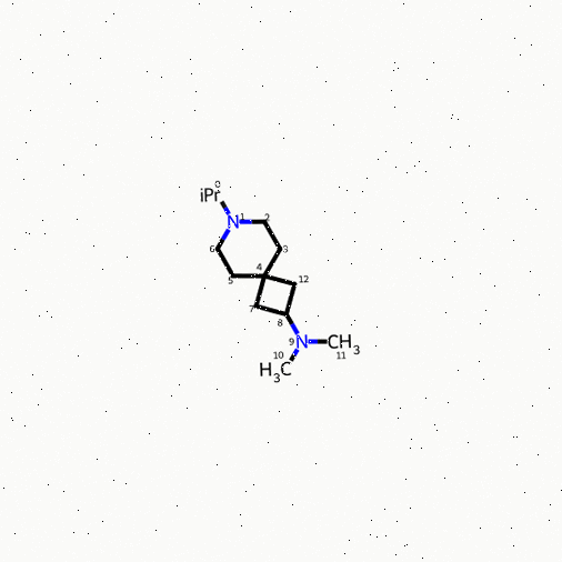 CC(C)N1CCC2(CC1)CC(N(C)C)C2